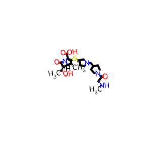 CNCC(=O)N1CCC(CN2CC[C@@H](SC3=C(C(=O)O)N4C(=O)[C@H](C(C)O)[C@H]4[C@H]3C)C2)CC1